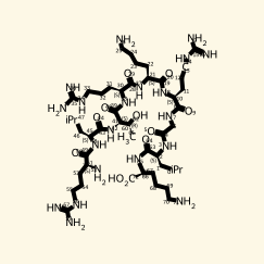 CC(C)C[C@H](NC(=O)CNC(=O)[C@H](CCCNC(=N)N)NC(=O)[C@H](CCCCN)NC(=O)[C@H](CCCNC(=N)N)NC(=O)[C@@H](NC(=O)[C@H](CC(C)C)NC(=O)[C@@H](N)CCCNC(=N)N)[C@@H](C)O)C(=O)N[C@@H](CCCCN)C(=O)O